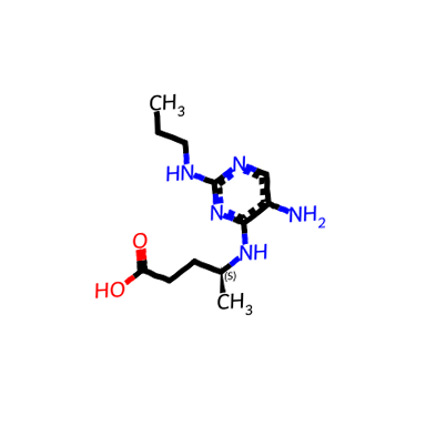 CCCNc1ncc(N)c(N[C@@H](C)CCC(=O)O)n1